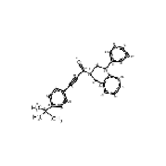 CC(C)(C)c1ccc(C#CC(=O)N(CCc2ccccc2)Cc2ccccc2)cc1